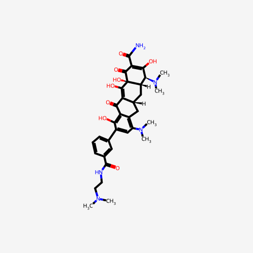 CN(C)CCNC(=O)c1cccc(-c2cc(N(C)C)c3c(c2O)C(=O)C2=C(O)[C@]4(O)C(=O)C(C(N)=O)=C(O)[C@@H](N(C)C)[C@@H]4C[C@@H]2C3)c1